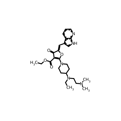 CCOC(=O)C1=C(N2CCC(N(CC)CCN(C)C)CC2)OC(=Cc2c[nH]c3ncccc23)C1=O